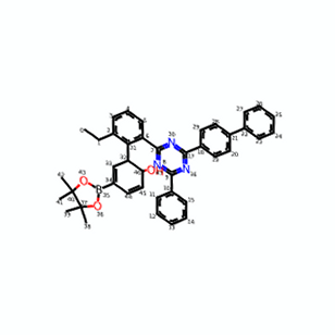 CCc1cccc(-c2nc(-c3ccccc3)nc(-c3ccc(-c4ccccc4)cc3)n2)c1C1C=C(B2OC(C)(C)C(C)(C)O2)C=CC1O